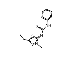 CCc1nn(C)c(=NC(=S)Nc2ccccc2)s1